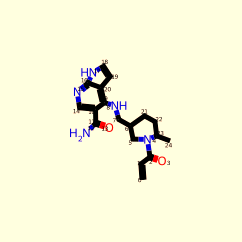 C=CC(=O)N1CC(CNc2c(C(N)=O)cnc3[nH]ccc23)CCC1C